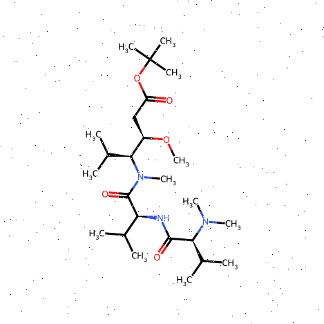 CO[C@H](CC(=O)OC(C)(C)C)[C@H](C(C)C)N(C)C(=O)[C@@H](NC(=O)[C@H](C(C)C)N(C)C)C(C)C